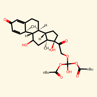 CCCCC(=O)OC(O)(OCC(=O)[C@@]1(O)CC[C@H]2[C@@H]3CCC4=CC(=O)C=C[C@]4(C)[C@H]3C(O)C[C@@]21C)OC(=O)CCCC